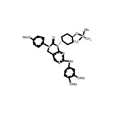 COc1ccc(N2Cc3cnc(Nc4ccc(OC)c(OC)c4)nc3N([C@H]3CC[C@H](O[Si](C)(C)C(C)(C)C)CC3)C2=O)cc1